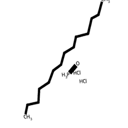 CCCCCCCCCCCCCC.Cl.Cl.O=[PH3]